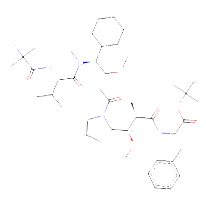 CO[C@H]([C@@H](C)C(=O)N[C@@H](Cc1ccccc1)C(=O)OC(C)(C)C)[C@@H]1CCCN1C(=O)C[C@@H](OC)[C@H](C1CCCCC1)N(C)C(=O)[C@@H](NC(=O)C(C)(C)N)C(C)C